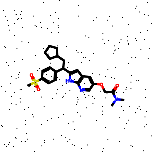 CN(C)C(=O)COc1cnc2[nH]c(C(CC3CCCC3)c3ccc(S(C)(=O)=O)cc3)cc2c1